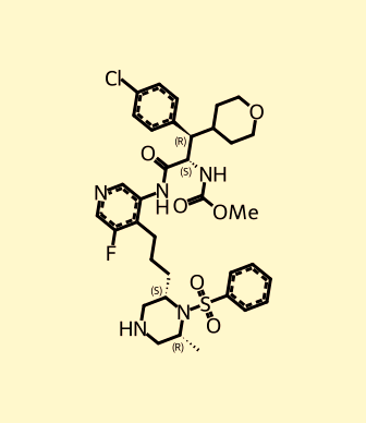 COC(=O)N[C@H](C(=O)Nc1cncc(F)c1CCC[C@H]1CNC[C@@H](C)N1S(=O)(=O)c1ccccc1)[C@@H](c1ccc(Cl)cc1)C1CCOCC1